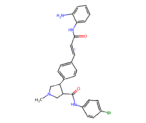 CN1CC(C(=O)Nc2ccc(Br)cc2)C(c2ccc(/C=C/C(=O)Nc3ccccc3N)cc2)C1